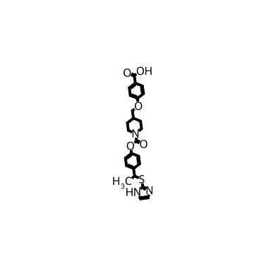 CC(Sc1ncc[nH]1)c1ccc(OC(=O)N2CCC(COc3ccc(C(=O)O)cc3)CC2)cc1